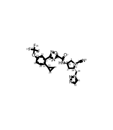 N#CN1C[C@H](NC(=O)c2nc(-c3cc(OC(F)(F)F)ccc3C3CC3)no2)C[C@H]1Cn1ccnn1